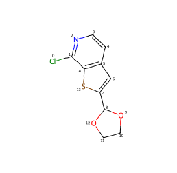 Clc1nccc2cc(C3OCCO3)sc12